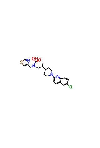 CC(CN(Cc1cscn1)C(=O)O)C1CCN(c2ccc3cc(Cl)ccc3n2)CC1